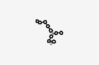 c1ccc(-c2ccc(N(c3ccc(-c4ccc(-c5cccc(-c6ccc7ccccc7c6)c5)cc4)cc3)c3ccc(-c4cccc5oc6ccccc6c45)cc3)cc2)cc1